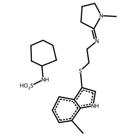 Cc1cccc2c(SCCN=C3CCCN3C)c[nH]c12.O=S(=O)(O)NC1CCCCC1